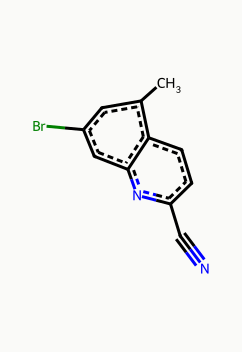 Cc1cc(Br)cc2nc(C#N)ccc12